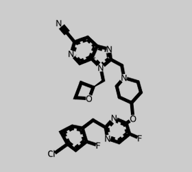 N#Cc1cc2nc(CN3CCC(Oc4nc(Cc5ccc(Cl)cc5F)ncc4F)CC3)n(C[C@@H]3CCO3)c2cn1